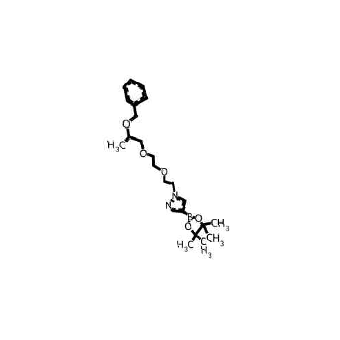 CC(COCCOCCn1cc(B2OC(C)(C)C(C)(C)O2)cn1)OCc1ccccc1